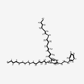 CCCCCCCCCCCCCCCn1cc(CCCc2ccccc2)nc1CCCCCCCCCCCCCC